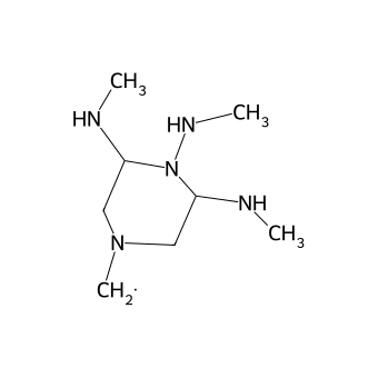 [CH2]N1CC(NC)N(NC)C(NC)C1